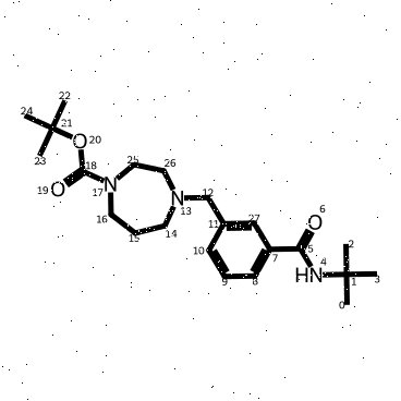 CC(C)(C)NC(=O)c1cccc(CN2CCCN(C(=O)OC(C)(C)C)CC2)c1